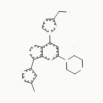 Cc1cc(-c2nsc3c(-n4cnc(CO)n4)cc(N4CCOC[C@H]4C)nc23)[nH]n1